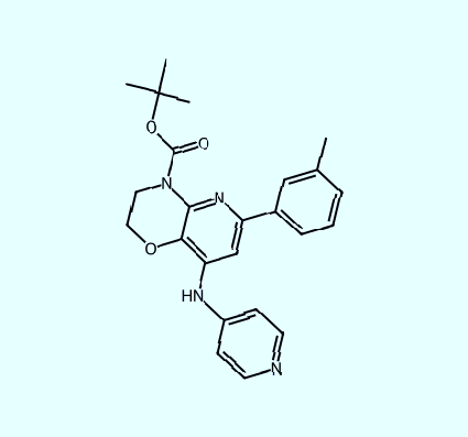 Cc1cccc(-c2cc(Nc3ccncc3)c3c(n2)N(C(=O)OC(C)(C)C)CCO3)c1